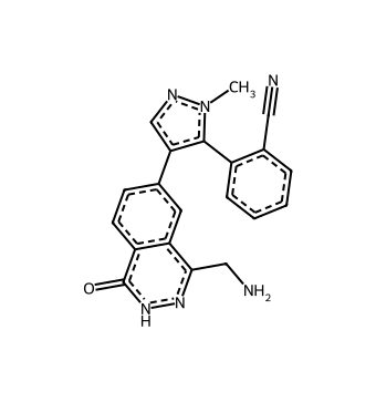 Cn1ncc(-c2ccc3c(=O)[nH]nc(CN)c3c2)c1-c1ccccc1C#N